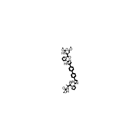 COCC[C@H](NC(=O)OC)C(=O)N1CCC[C@H]1c1ncc(-c2ccc(-c3ccc(-c4cnc([C@@H]5CCCN5C(=O)[C@H](C)NC(=O)OC)[nH]4)cc3)cc2)[nH]1